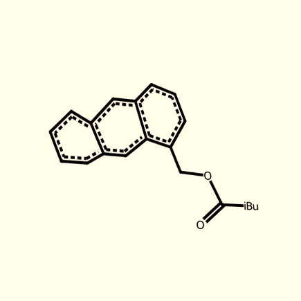 CCC(C)C(=O)OCc1cccc2cc3ccccc3cc12